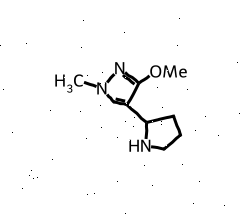 COc1nn(C)cc1C1CCCN1